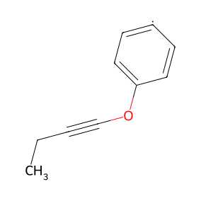 CCC#COc1cc[c]cc1